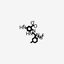 CNc1cc(C(=O)OC)c2nc(-c3nn(SF)c4c3CC(C)CC4)[nH]c2c1